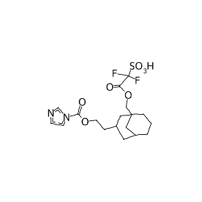 O=C(OCCC1CC2CCCC(COC(=O)C(F)(F)S(=O)(=O)O)(C2)C1)n1ccnc1